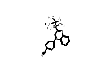 CC(C)(C)[Si](C)(C)c1cc(-c2ccc(C#N)cc2)c2ccccc2n1